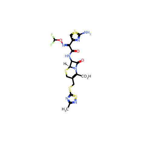 Cc1nsc(SCC2=C(C(=O)O)N3C(=O)C(NC(=O)C(=NOC(F)F)c4csc(N)n4)[C@@H]3SC2)n1